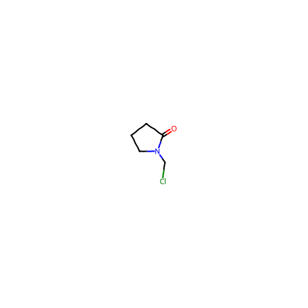 O=C1CCCN1CCl